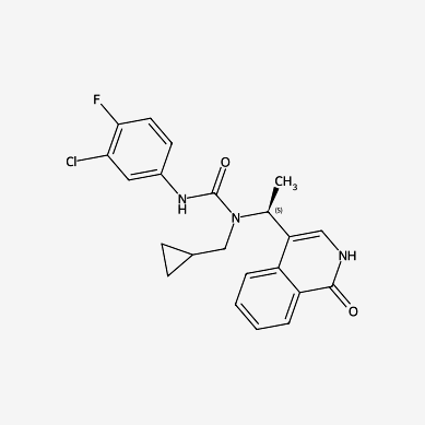 C[C@@H](c1c[nH]c(=O)c2ccccc12)N(CC1CC1)C(=O)Nc1ccc(F)c(Cl)c1